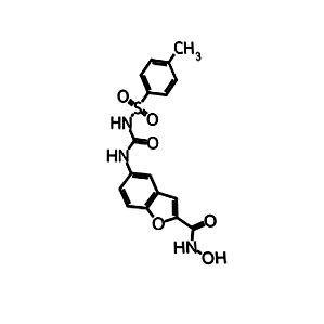 Cc1ccc(S(=O)(=O)NC(=O)Nc2ccc3oc(C(=O)NO)cc3c2)cc1